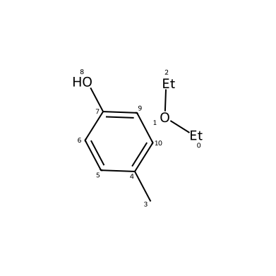 CCOCC.Cc1ccc(O)cc1